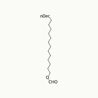 CCCCCCCCCCCCCCCCCCCCCCCOC=O